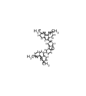 Cc1ccc2cc(-c3ccc4oc5ccc(-c6cc7ccc(C)nc7c7nc(C)ccc67)cc5c4c3)c3ccc(C)nc3c2n1